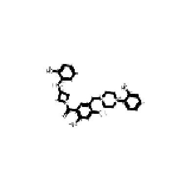 Cc1cc(C)c(C(=O)N2CC(Nc3ccccc3C#N)C2)cc1CN1CCN(c2ccccc2C#N)CC1